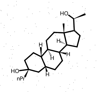 CCC[C@@]1(O)CC[C@H]2[C@H](CC[C@@H]3[C@@H]2CC[C@]2(C)C([C@H](C)O)CC[C@@H]32)C1